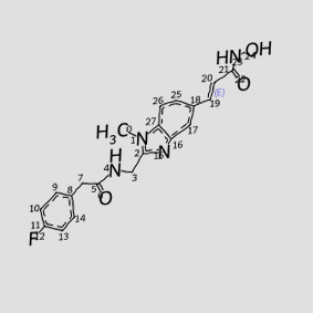 Cn1c(CNC(=O)Cc2ccc(F)cc2)nc2cc(/C=C/C(=O)NO)ccc21